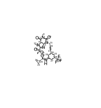 Cn1c(=O)c2c(nc(S(C)(=O)=O)n2C)n(CC#Cc2cc(NC(=O)C3CC3)cc(C(F)(F)F)c2)c1=O